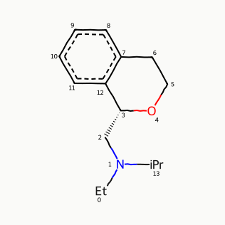 CCN(C[C@H]1OCCc2ccccc21)C(C)C